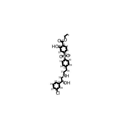 CCOC(=O)c1ccc(S(=O)(=O)c2ccc(CCNC[C@H](O)c3cccc(Cl)c3)cc2)cc1O